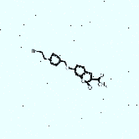 CC(=O)c1cc2ccc(OCc3ccc(CCBr)cc3)cc2oc1=O